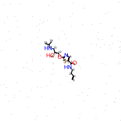 C=CCCNC(=O)c1cnc(OCC(O)CNC(C)C)s1